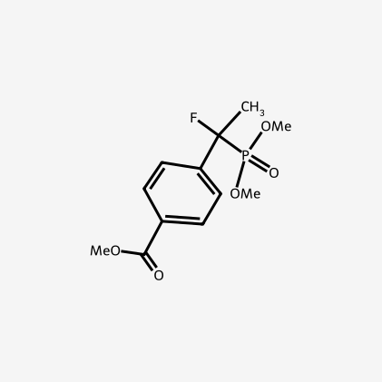 COC(=O)c1ccc(C(C)(F)P(=O)(OC)OC)cc1